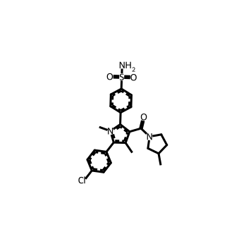 Cc1c(C(=O)N2CCC(C)C2)c(-c2ccc(S(N)(=O)=O)cc2)n(C)c1-c1ccc(Cl)cc1